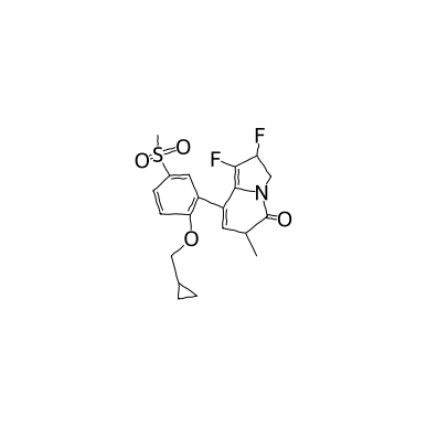 CC1C=C(c2cc(S(C)(=O)=O)ccc2OCC2CC2)C2=C(F)C(F)CN2C1=O